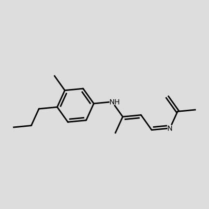 C=C(C)/N=C\C=C(/C)Nc1ccc(CCC)c(C)c1